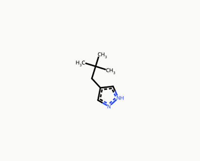 CC(C)(C)Cc1cn[nH]c1